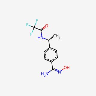 C[C@H](NC(=O)C(F)(F)F)c1ccc(/C(N)=N\O)cc1